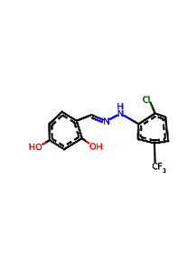 Oc1ccc(C=NNc2cc(C(F)(F)F)ccc2Cl)c(O)c1